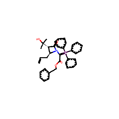 C=CC[C@H]1[C@H](C(C)(C)O)C(=O)N1C(C(=O)OCc1ccccc1)=P(c1ccccc1)(c1ccccc1)c1ccccc1